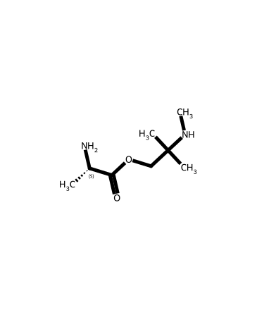 CNC(C)(C)COC(=O)[C@H](C)N